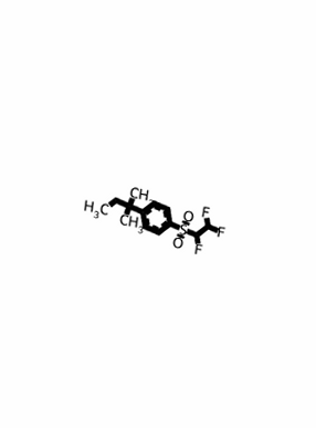 CCC(C)(C)c1ccc(S(=O)(=O)C(F)C(F)F)cc1